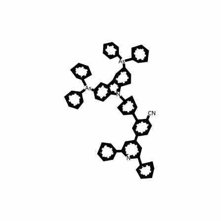 N#Cc1ccc(-c2cc(-c3ccccc3)nc(-c3ccccc3)c2)cc1-c1ccc(-n2c3ccc([As](c4ccccc4)c4ccccc4)cc3c3cc([As](c4ccccc4)c4ccccc4)ccc32)cc1